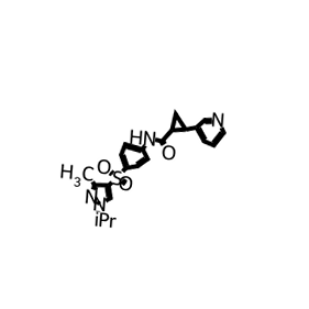 Cc1nn(C(C)C)cc1S(=O)(=O)c1ccc(NC(=O)C2CC2c2cccnc2)cc1